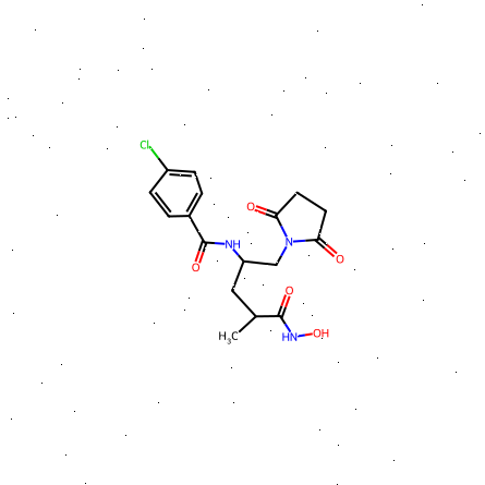 CC(CC(CN1C(=O)CCC1=O)NC(=O)c1ccc(Cl)cc1)C(=O)NO